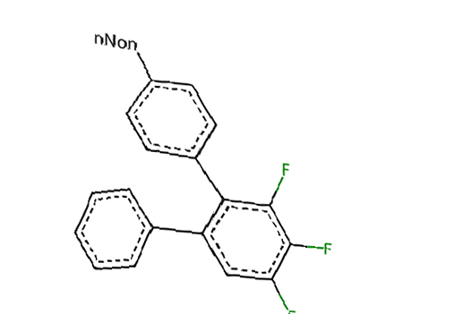 CCCCCCCCCc1ccc(-c2c(-c3ccccc3)cc(F)c(F)c2F)cc1